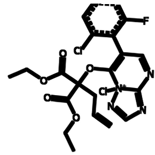 C=CCC(OC1=C(c2c(F)cccc2Cl)C=NC2=NC=N[N+]21Cl)(C(=O)OCC)C(=O)OCC